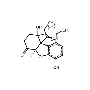 CCc1ccc(O)c2c1[C@@]1([C@H](O)CC)[C@@H](O2)C(=O)CC[C@@]1(O)[C@H](C)O